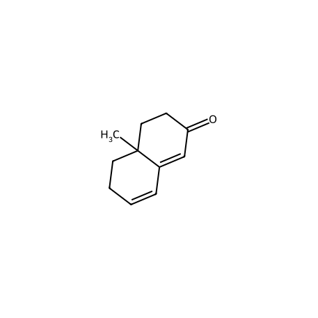 CC12CCC=CC1=CC(=O)CC2